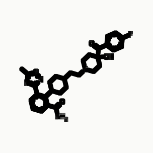 Cc1nc(-c2cccc(C(N)=O)c2C2CCC(CCN3CCC(O)(C(=O)c4ccc(F)cc4)CC3)CC2)no1